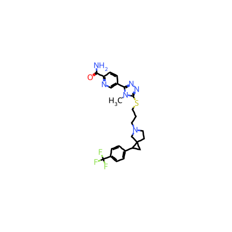 Cn1c(SCCCN2CCC3(CC3c3ccc(C(F)(F)F)cc3)C2)nnc1-c1ccc(C(N)=O)nc1